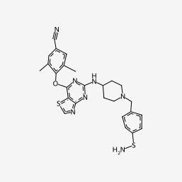 Cc1cc(C#N)cc(C)c1Oc1nc(NC2CCN(Cc3ccc(SN)cc3)CC2)nc2ncsc12